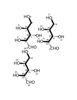 O=C[C@H](O)[C@@H](O)[C@@H](O)CO.O=C[C@H](O)[C@@H](O)[C@@H](O)CO.O=C[C@H](O)[C@@H](O)[C@@H](O)CO